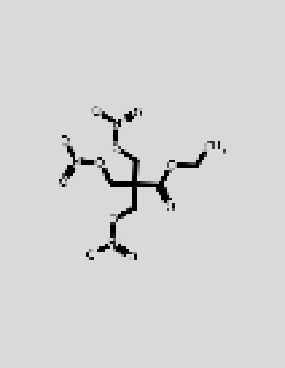 CCOC(=O)C(CO[N+](=O)[O-])(CO[N+](=O)[O-])CO[N+](=O)[O-]